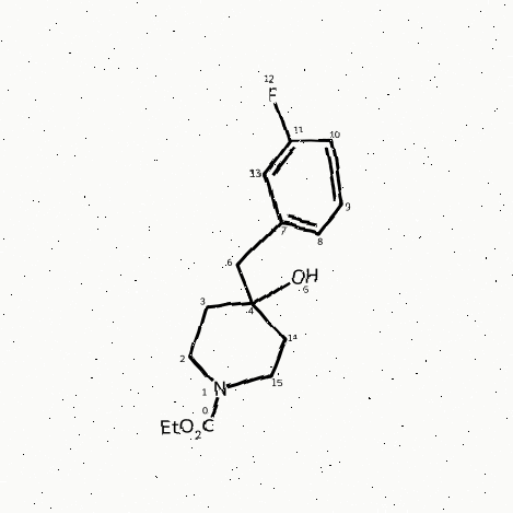 CCOC(=O)N1CCC(O)(Cc2cccc(F)c2)CC1